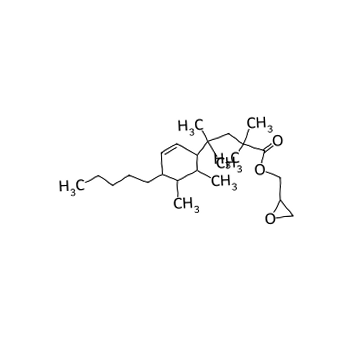 CCCCCC1C=CC(C(C)(C)CC(C)(C)C(=O)OCC2CO2)C(C)C1C